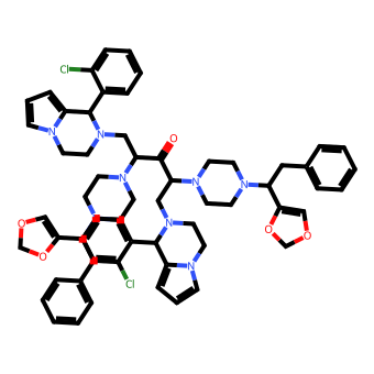 O=C(C(CN1CCn2cccc2C1c1ccccc1Cl)N1CCN(C(Cc2ccccc2)C2=COCO2)CC1)C(CN1CCn2cccc2C1c1ccccc1Cl)N1CCN(C(Cc2ccccc2)C2=COCO2)CC1